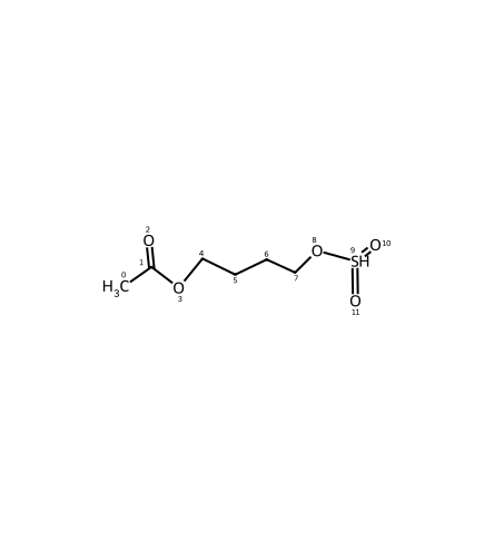 CC(=O)OCCCCO[SH](=O)=O